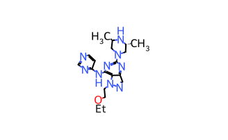 CCOCCn1ncc2nc(N3C[C@@H](C)N[C@H](C)C3)nc(Nc3ccncn3)c21